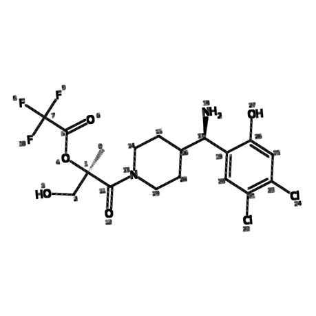 C[C@](CO)(OC(=O)C(F)(F)F)C(=O)N1CCC([C@@H](N)c2cc(Cl)c(Cl)cc2O)CC1